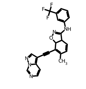 CC1=C(C#Cc2cnn3cnccc23)C2ON=C(Nc3cccc(C(F)(F)F)c3)C2C=C1